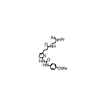 CCCN(CCNC(=O)CCc1csc(NC(=O)Nc2ccc(OC)cc2)n1)C(C)=O